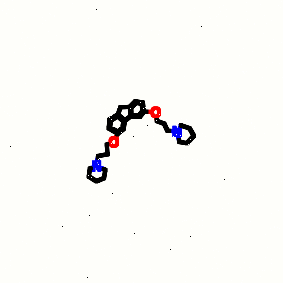 c1cc2c(cc1OCCCN1CCCCC1)-c1cc(OCCCN3CCCCC3)ccc1C2